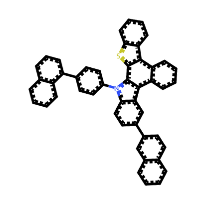 c1ccc2cc(-c3ccc4c(c3)c3c5ccccc5c5c6ccccc6sc5c3n4-c3ccc(-c4cccc5ccccc45)cc3)ccc2c1